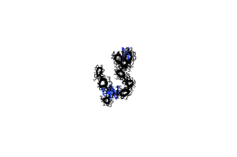 c1ccc(-c2ccc(-c3nc(-c4ccccc4)nc(-c4cccc(-c5cccc(-c6cccc(-c7cc8cccnc8c8ccccc78)c6)c5)c4)n3)cc2)cc1